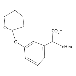 CCCCCCC(C(=O)O)c1cccc(OC2CCCCO2)c1